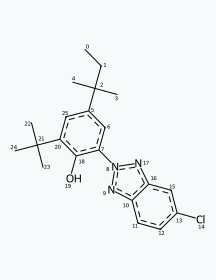 CCC(C)(C)c1cc(-n2nc3ccc(Cl)cc3n2)c(O)c(C(C)(C)C)c1